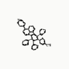 N#Cc1ccc(-c2c(-c3ccccc3)c(-c3ccccc3)c3c(c2-c2ccccc2)-c2cccc4c(-c5ccncc5)ccc-3c24)cc1